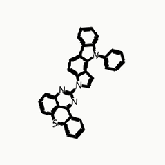 c1ccc(-n2c3ccccc3c3ccc4c(ccn4-c4nc5c6c(cccc6n4)Sc4ccccc4-5)c32)cc1